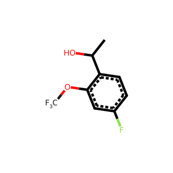 CC(O)c1ccc(F)cc1OC(F)(F)F